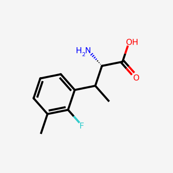 Cc1cccc(C(C)[C@H](N)C(=O)O)c1F